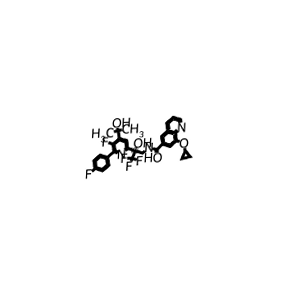 CC(C)(O)c1cc([C@@](O)(CNC(=O)c2cc(OC3CC3)c3ncccc3c2)C(F)(F)F)nc(-c2ccc(F)cc2)c1F